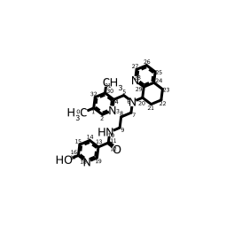 Cc1cnc(CN(CCCNC(=O)c2ccc(O)nc2)C2CCCc3cccnc32)c(C)c1